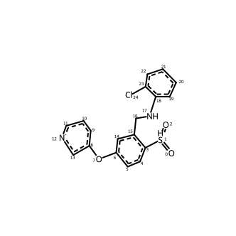 O=[SH](=O)c1ccc(Oc2cccnc2)cc1CNc1ccccc1Cl